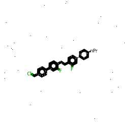 CCC[C@H]1CC[C@H](c2ccc(CCc3ccc(-c4ccc(CCl)cc4)cc3F)c(F)c2)CC1